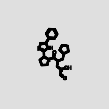 O=CN(O)CC(CC1CCCC1)C(=O)N1CCCC1c1ncc(-c2ccccc2)[nH]1